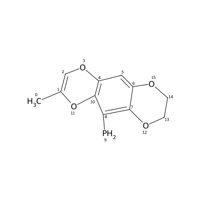 CC1=COc2cc3c(c(P)c2O1)OCCO3